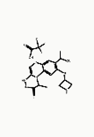 CC1C(=O)NNC2=COc3cc(C(C)C(F)(F)F)c(NC4CNC4)cc3N21.O=C(O)C(F)(F)F